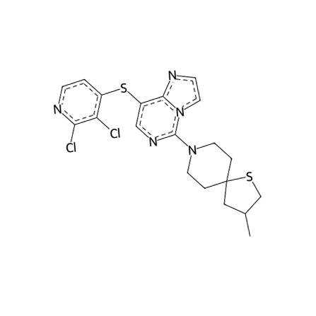 CC1CSC2(CCN(c3ncc(Sc4ccnc(Cl)c4Cl)c4nccn34)CC2)C1